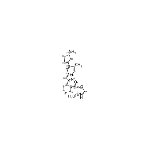 Cc1cn2nc([C@@H]3CCCCN3C(=O)C3OCNC3C)cc2nc1N1CC[C@H](N)C1